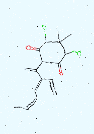 C=C/C(=C\C=C/C)C(=C)C1C(=O)C(Cl)C(C)(C)C(Cl)C1=O